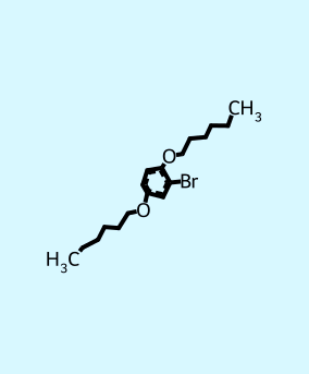 CCCCCCOc1ccc(OCCCCCC)c(Br)c1